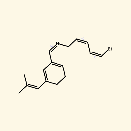 CC/C=C\C=C/C/N=C\C1=CCCC(C=C(C)C)=C1